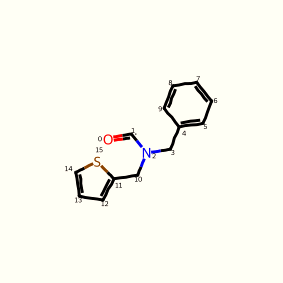 O=[C]N(Cc1ccccc1)Cc1cccs1